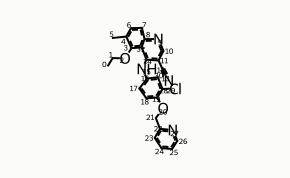 CCOc1c(C)ccc2ncc(C#N)c(Nc3ccc(OCc4ccccn4)c(Cl)c3)c12